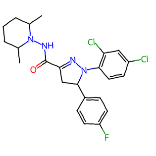 CC1CCCC(C)N1NC(=O)C1=NN(c2ccc(Cl)cc2Cl)C(c2ccc(F)cc2)C1